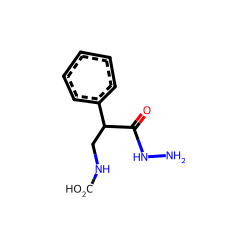 NNC(=O)C(CNC(=O)O)c1ccccc1